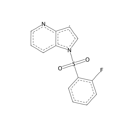 O=S(=O)(c1ccccc1F)n1c[c]c2ncccc21